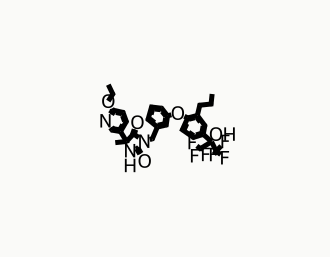 CCCc1cc(C(O)(C(F)(F)F)C(F)(F)F)ccc1Oc1cccc(CN2C(=O)NC(C)(c3ccc(OCC)nc3)C2=O)c1